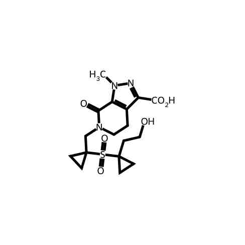 Cn1nc(C(=O)O)c2c1C(=O)N(CC1(S(=O)(=O)C3(CCO)CC3)CC1)CC2